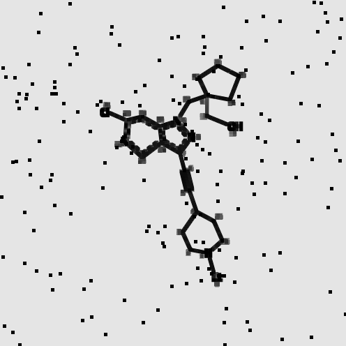 CCN1CCC(C#Cc2nn(CC3(CO)CCCC3)c3cc(Cl)ncc23)CC1